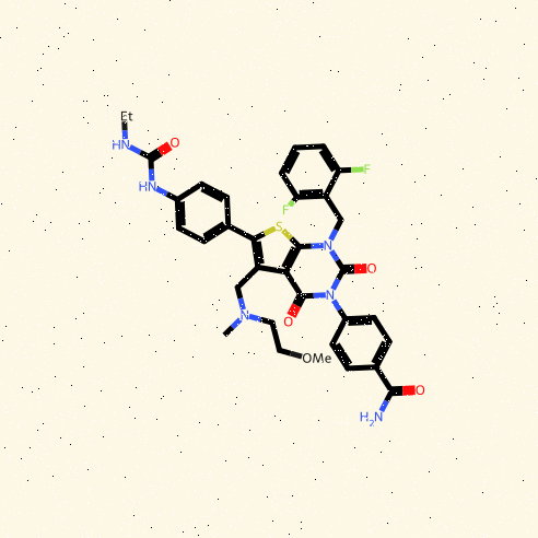 CCNC(=O)Nc1ccc(-c2sc3c(c2CN(C)CCOC)c(=O)n(-c2ccc(C(N)=O)cc2)c(=O)n3Cc2c(F)cccc2F)cc1